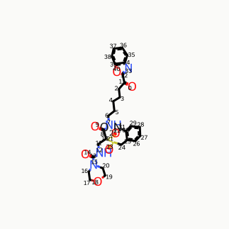 O=C(CCCCCNC(=O)C(CNC(=O)N1CCOCC1)S(=O)(=O)Cc1ccccc1[N+](=O)[O-])c1nc2ccccc2o1